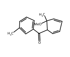 COC1(C)C=CC=CC1C(=O)c1cccc(C)c1